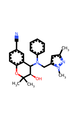 Cc1cc(CN(c2ccccc2)C2c3cc(C#N)ccc3OC(C)(C)[C@@H]2O)n(C)n1